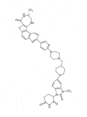 C[C@@H]1CNc2c(sc3ccc4nc(-c5ccc(N6CCN(CC7CCN(c8ccc9c(c8)n(C)c(=O)n9C8CCC(=O)NC8=O)CC7)CC6)nc5)ccc4c23)C(=O)N1